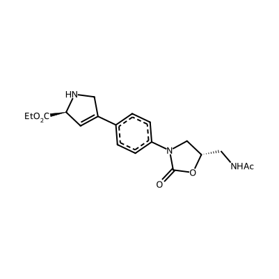 CCOC(=O)[C@@H]1C=C(c2ccc(N3C[C@H](CNC(C)=O)OC3=O)cc2)CN1